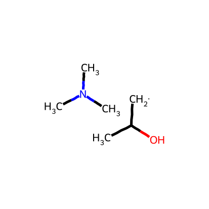 CN(C)C.[CH2]C(C)O